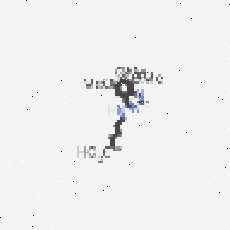 COc1cc2c(NCCCCCC(=O)O)ncnc2c(OC)c1OC